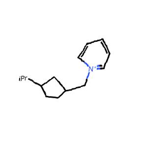 CC(C)C1CCC(C[n+]2ccccc2)C1